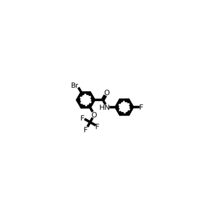 O=C(Nc1ccc(F)cc1)c1cc(Br)ccc1OC(F)(F)F